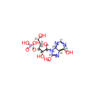 O=P(O)(O)O[C@H]1[C@@H](O)[C@H](n2c(O)nc3c(O)ncnc32)O[C@@H]1CO